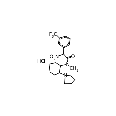 CN(C(=O)C(c1cccc(C(F)(F)F)c1)[N+](=O)[O-])C1CCCCC1N1CCCC1.Cl